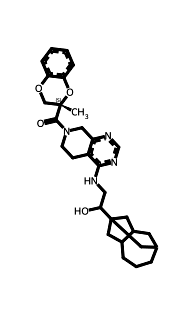 C[C@@]1(C(=O)N2CCc3c(ncnc3NCC(O)C34CC5CCCC(C3)C(C5)C4)C2)COc2ccccc2O1